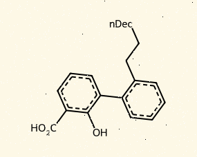 CCCCCCCCCCCCc1ccccc1-c1cccc(C(=O)O)c1O